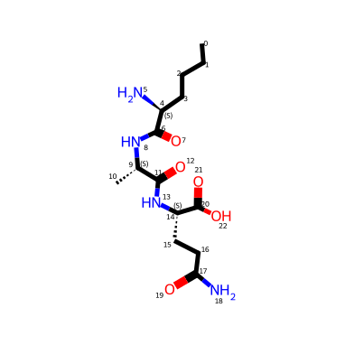 CCCC[C@H](N)C(=O)N[C@@H](C)C(=O)N[C@@H](CCC(N)=O)C(=O)O